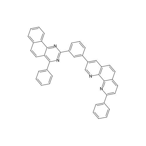 c1ccc(-c2ccc3ccc4cc(-c5cccc(-c6nc(-c7ccccc7)c7ccc8ccccc8c7n6)c5)cnc4c3n2)cc1